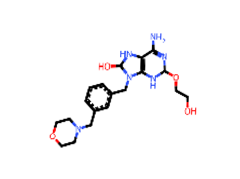 NC1=NC(OCCO)NC2=C1NC(O)N2Cc1cccc(CN2CCOCC2)c1